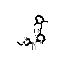 CCn1cc(Nc2nccc(NCc3c(C)cccc3C)n2)cn1